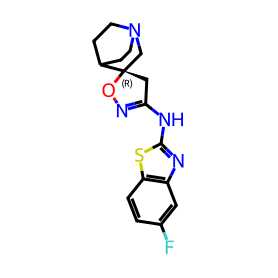 Fc1ccc2sc(NC3=NO[C@@]4(C3)CN3CCC4CC3)nc2c1